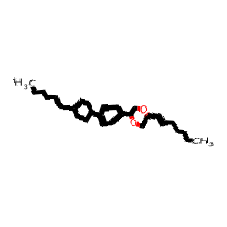 CCCCCCCC1COC(c2ccc(C3CCC(CCCCCC)CC3)cc2)CO1